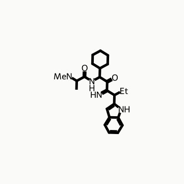 CCC(C(=N)C(=O)C(NC(=O)C(C)NC)C1CCCCC1)c1cc2ccccc2[nH]1